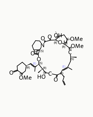 C=CC[C@@H]1/C=C(\C)C[C@H](C)C[C@H](OC)[C@H]2O[C@@](O)(C(=O)C(=O)N3CCCC[C@H]3C(=O)O[C@H](/C(C)=C/[C@@H]3CCC(=O)[C@H](OC)C3)[C@H](C)[C@@H](O)CC1=O)[C@H](C)C[C@@H]2OC